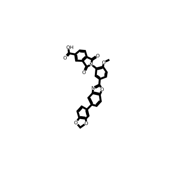 COc1ccc(-c2nc3cc(-c4ccc5c(c4)OCO5)ccc3o2)cc1N1C(=O)c2ccc(C(=O)O)cc2C1=O